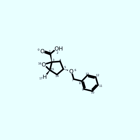 O=C(O)[C@@]12C[C@H](OCc3ccccc3)C[C@@H]1O2